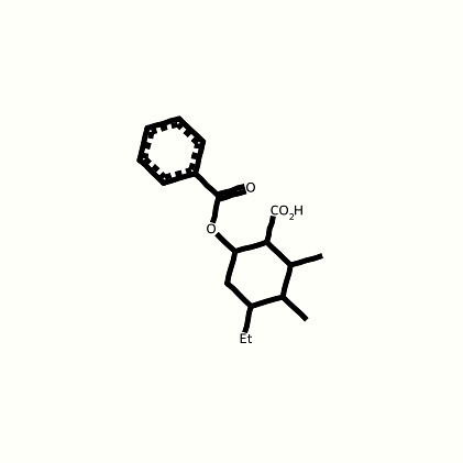 CCC1CC(OC(=O)c2ccccc2)C(C(=O)O)C(C)C1C